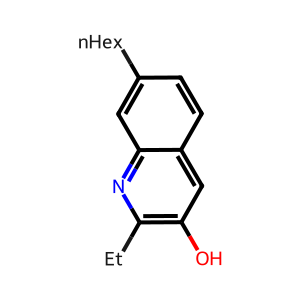 CCCCCCc1ccc2cc(O)c(CC)nc2c1